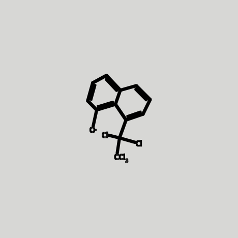 [O]c1cccc2cccc(C(Cl)(Cl)C(Cl)(Cl)Cl)c12